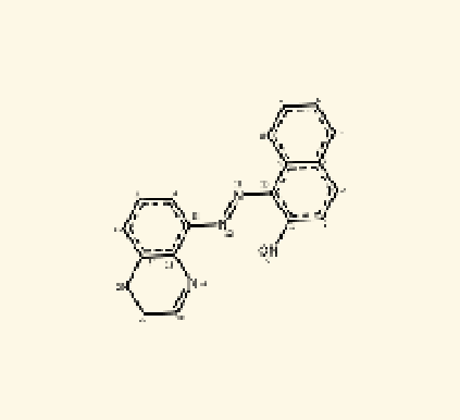 O=Nc1ccc2ccccc2c1/N=N/c1cccc2c1N=CCC2